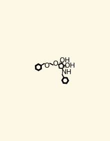 O[C@@H]1C(OCCOCc2ccccc2)CC(NCc2ccccc2)[C@@H]1O